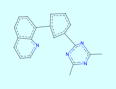 Cc1nc(C)nc(-c2cccc(-c3cccc4cccnc34)c2)n1